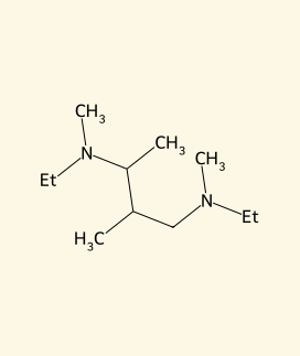 CCN(C)CC(C)C(C)N(C)CC